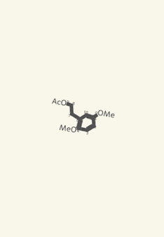 COc1ccc(OC)c(CCOC(C)=O)c1